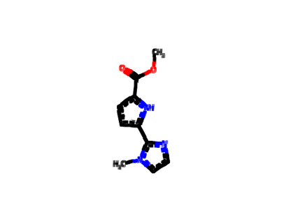 COC(=O)c1ccc(-c2nccn2C)[nH]1